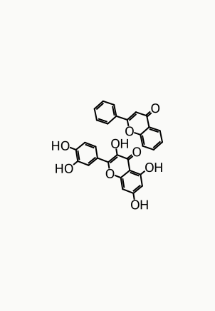 O=c1c(O)c(-c2ccc(O)c(O)c2)oc2cc(O)cc(O)c12.O=c1cc(-c2ccccc2)oc2ccccc12